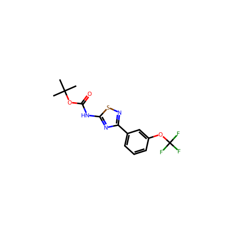 CC(C)(C)OC(=O)Nc1nc(-c2cccc(OC(F)(F)F)c2)ns1